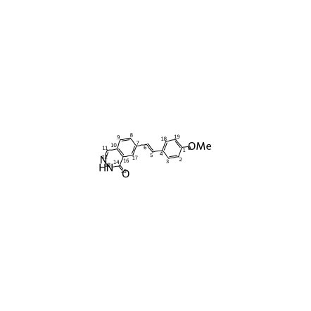 COc1ccc(C=Cc2ccc3cn[nH]c(=O)c3c2)cc1